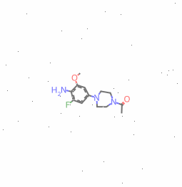 COc1cc(N2CCN(C(C)=O)CC2)cc(F)c1N